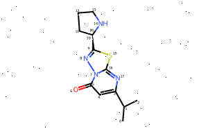 CC(C)c1cc(=O)n2nc([C@H]3CCCN3)sc2n1